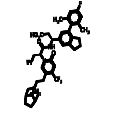 Cc1cc(F)cc(C)c1-c1cc([C@H](CC(=O)O)NC(=O)[C@@H](CC(C)C)n2cc(CCN3CC4CCC(C3)N4C)c(C(F)(F)F)cc2=O)cc2c1CCC2